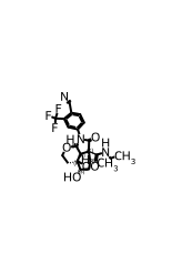 CCNC(=O)[C@@]12C(=O)N(c3ccc(C#N)c(C(F)(F)F)c3)[C@H]3OCC[C@@]4(O[C@]1(C)C[C@@H]4O)[C@H]32